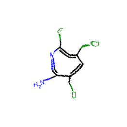 Nc1nc(F)c(Cl)cc1Cl